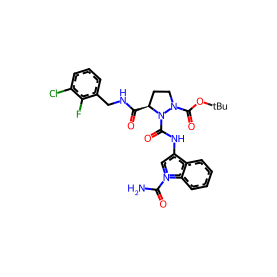 CC(C)(C)OC(=O)N1CC[C@H](C(=O)NCc2cccc(Cl)c2F)N1C(=O)Nc1cn(C(N)=O)c2ccccc12